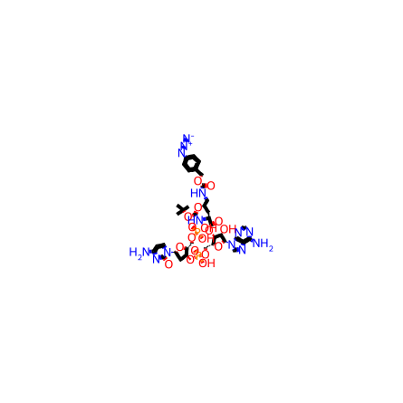 CC(C)(C)OC(=O)N[C@@H](CCCNC(=O)OCc1ccc(N=[N+]=[N-])cc1)C(=O)O[C@H]1[C@@H](O)[C@H](n2cnc3c(N)ncnc32)O[C@@H]1COP(=O)(O)O[C@H]1C[C@H](n2ccc(N)nc2=O)O[C@@H]1COP(=O)(O)O